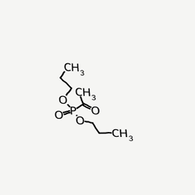 CCCOP(=O)(OCCC)C(C)=O